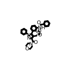 O=C(Nc1cccc2c1S(=O)(=O)Cc1c(C(=O)N3CCOCC3)nn(-c3ccccc3)c1-2)c1ccccc1